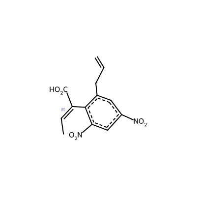 C=CCc1cc([N+](=O)[O-])cc([N+](=O)[O-])c1/C(=C\C)C(=O)O